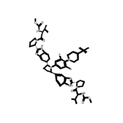 COC(=O)NC(C(=O)N1CCC[C@H]1c1nc2cc([C@H]3CC[C@H](C4C=c5nc([C@@H]6CCCN6C(=O)[C@@H](NC(=O)OC)C(C)C)[nH]c5=CC4)N3c3cc(F)c(N4CCC(C(C)(C)C)CC4)c(F)c3)ccc2[nH]1)C(C)C